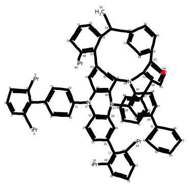 CC(C)c1cccc(C(C)C)c1-c1ccc(N2c3ccc(-c4c(C(C)C)cccc4C(C)C)cc3B3c4cc(-c5ccccc5)ccc4N4c5cc(cc2c53)-c2c(C(C)C)cccc2C(C)c2ccc(cc2)-c2cccc(-c3ccccc3)c24)cc1